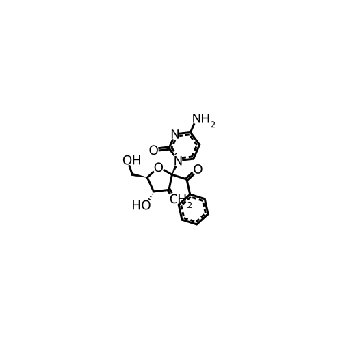 C=C1[C@H](O)[C@@H](CO)O[C@@]1(C(=O)c1ccccc1)n1ccc(N)nc1=O